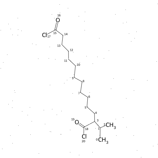 CC(C)C(CCCCCCCCCCCC(=O)Cl)C(=O)Cl